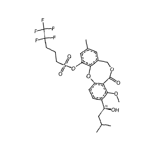 COc1c([C@@H](O)CC(C)C)ccc2c1C(=O)OCc1cc(C)cc(OS(=O)(=O)CCCC(F)(F)C(F)(F)F)c1O2